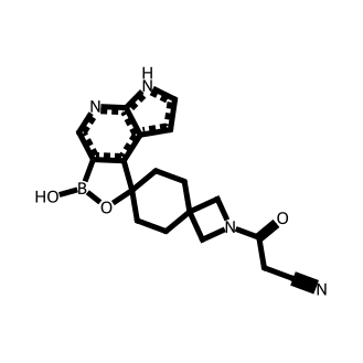 N#CCC(=O)N1CC2(CCC3(CC2)OB(O)c2cnc4[nH]ccc4c23)C1